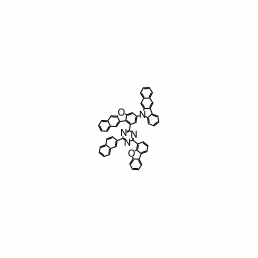 c1ccc2cc(-c3nc(-c4cccc5c4oc4ccccc45)nc(-c4cc(-n5c6ccccc6c6cc7ccccc7cc65)cc5oc6cc7ccccc7cc6c45)n3)ccc2c1